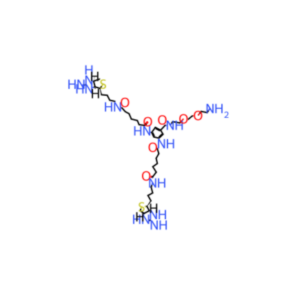 N=C1N[C@H]2[C@H](CS[C@H]2CCCCNC(=O)CCCCCC(=O)Nc2cc(NC(=O)CCCCCC(=O)NCCCC[C@@H]3SC[C@@H]4NC(=N)N[C@@H]43)cc(C(=O)NCCOCCOCCN)c2)N1